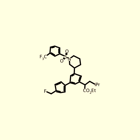 CCOC(=O)C(CC(C)C)c1cc(-c2ccc(CF)cc2)cc(C2CCCN(S(=O)(=O)c3cccc(C(F)(F)F)c3)C2)c1